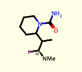 CN[C@@H](I)C(C)C1CCCCN1C(N)=O